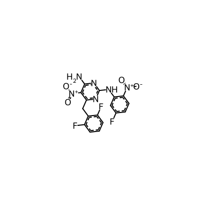 Nc1nc(Nc2cc(F)ccc2[N+](=O)[O-])nc(Cc2c(F)cccc2F)c1[N+](=O)[O-]